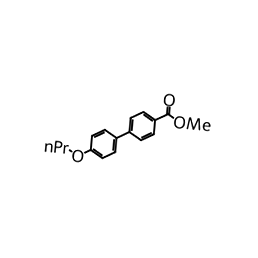 CCCOc1ccc(-c2ccc(C(=O)OC)cc2)cc1